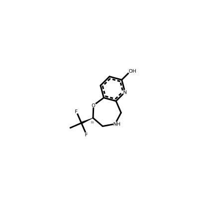 CC(F)(F)[C@@H]1CNCc2nc(O)ccc2O1